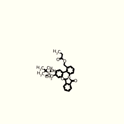 CCC(=O)OCc1cccc(N2C(=O)c3ccccc3C2=O)c1-c1ccc(O[Si](C)(C)C(C)(C)C)cc1